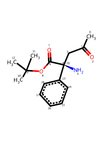 CC(=O)C[C@@](N)(C(=O)OC(C)(C)C)c1ccccc1